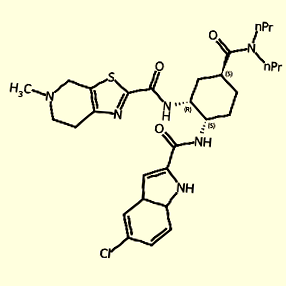 CCCN(CCC)C(=O)[C@H]1CC[C@H](NC(=O)C2=CC3C=C(Cl)C=CC3N2)[C@H](NC(=O)c2nc3c(s2)CN(C)CC3)C1